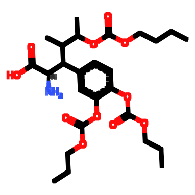 CCCCOC(=O)OC(C)C(C)C(c1ccc(OC(=O)OCCC)c(OC(=O)OCCC)c1)[C@H](N)C(=O)O